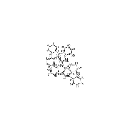 c1ccc(-c2ccccc2-c2nc(-n3c4ccccc4c4cc5c6c(cccc6c43)-c3ccccc3-5)nc3ccccc23)cc1